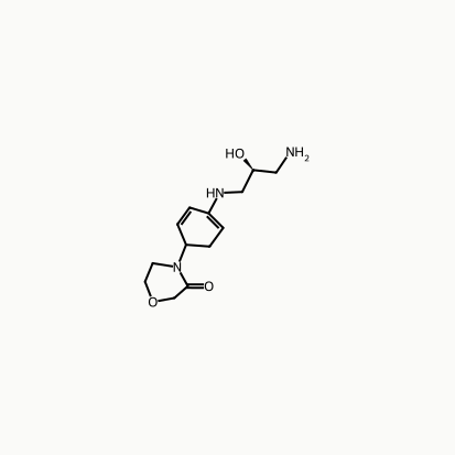 NC[C@H](O)CNC1=CCC(N2CCOCC2=O)C=C1